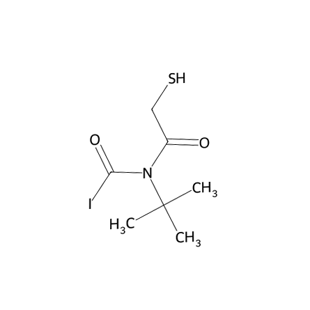 CC(C)(C)N(C(=O)I)C(=O)CS